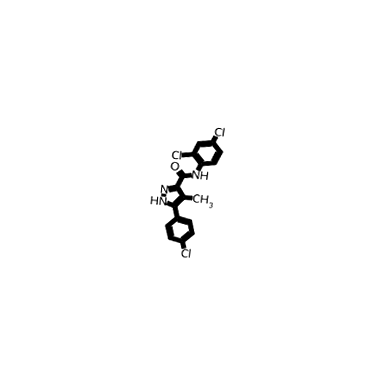 Cc1c(C(=O)Nc2ccc(Cl)cc2Cl)n[nH]c1-c1ccc(Cl)cc1